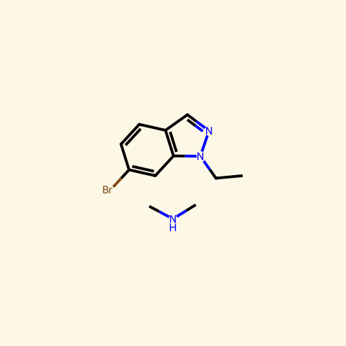 CCn1ncc2ccc(Br)cc21.CNC